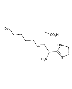 CC(=O)O.CCCCCCCCCCCCCCC=CC(N)C1=NCCN1